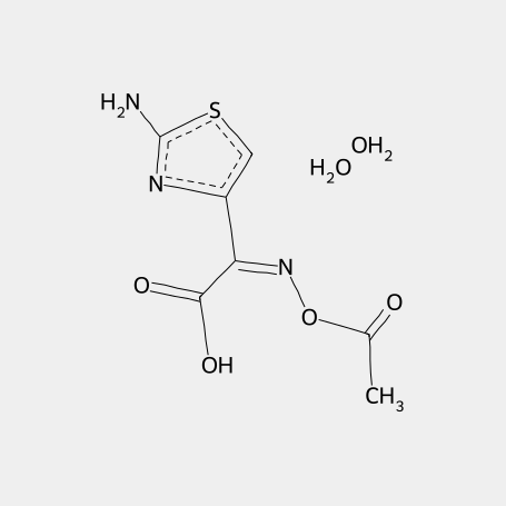 CC(=O)ON=C(C(=O)O)c1csc(N)n1.O.O